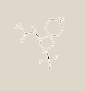 O=C(O)N[C@@H]1C[C@H](C(F)(F)F)CC12CCNCC2